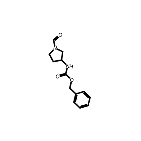 O=CN1CCC(NC(=O)OCc2ccccc2)C1